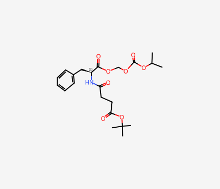 CC(C)OC(=O)OCOC(=O)[C@H](Cc1ccccc1)NC(=O)CCC(=O)OC(C)(C)C